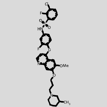 COc1cc2c(Oc3ccc(NS(=O)(=O)c4cccc(Cl)c4F)cc3F)ccnc2cc1OCCCN1CCCC(C)C1